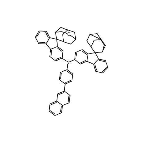 c1ccc2c(c1)-c1cc(N(c3ccc(-c4ccc5ccccc5c4)cc3)c3ccc4c(c3)C3(c5ccccc5-4)C4CCC5CC(C4)CC3C5)ccc1C21C2CCC3CC(C2)CC1C3